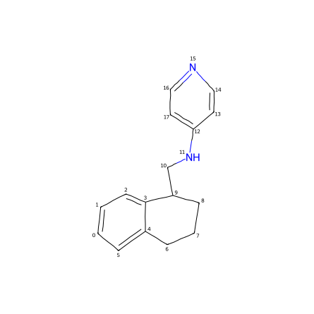 c1ccc2c(c1)CCCC2CNc1ccncc1